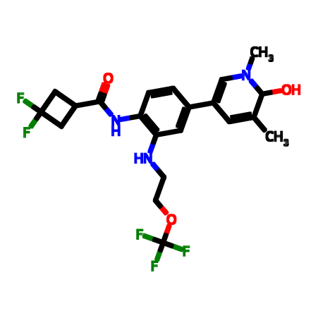 CC1=CC(c2ccc(NC(=O)C3CC(F)(F)C3)c(NCCOC(F)(F)F)c2)=CN(C)C1O